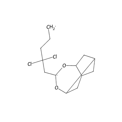 [CH2]CCC(Cl)(Cl)C[C]1OC2CC3CC2CC3O1